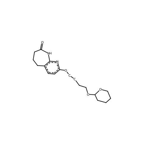 O=C1CCCc2ccc(OCCCCOC3CCCCO3)nc2N1